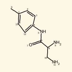 Cc1ccc(NC(=O)C(N)CN)cc1